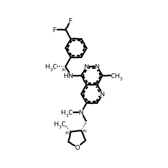 Cc1nnc(N[C@H](C)c2cccc(C(F)F)c2)c2cc(N(C)C[C@@H]3COC[C@@H]3C)cnc12